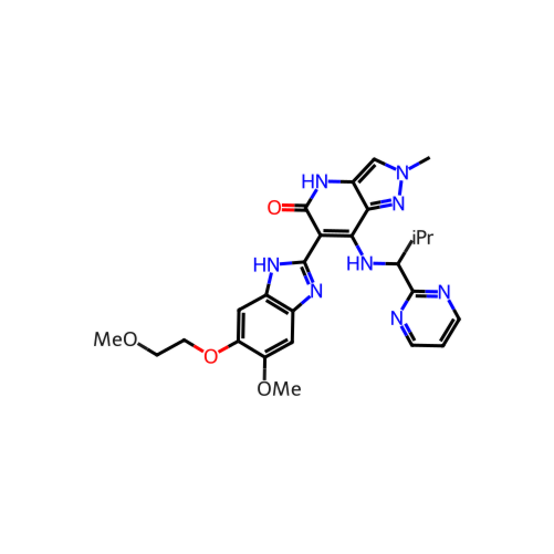 COCCOc1cc2[nH]c(-c3c(NC(c4ncccn4)C(C)C)c4nn(C)cc4[nH]c3=O)nc2cc1OC